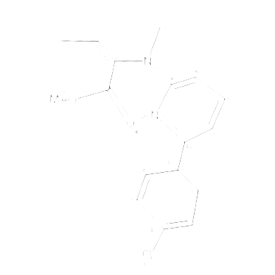 CC=C(C(=O)OC)N(C)c1cccc(-c2ccc(Cl)cc2)n1